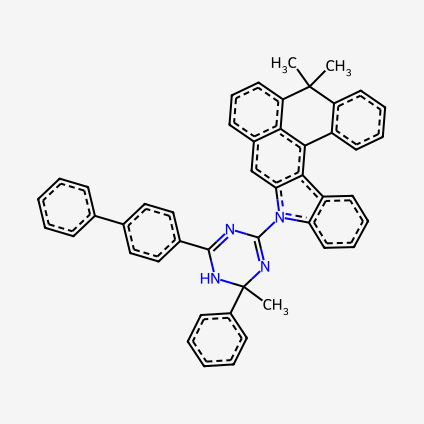 CC1(c2ccccc2)N=C(n2c3ccccc3c3c4c5c(cccc5cc32)C(C)(C)c2ccccc2-4)N=C(c2ccc(-c3ccccc3)cc2)N1